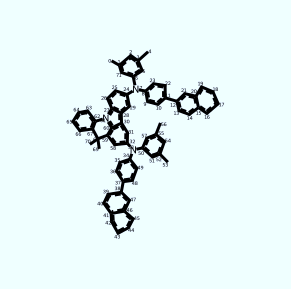 Cc1cc(C)cc(N(c2ccc(-c3ccc4ccccc4c3)cc2)c2ccc3c(c2)c2cc(N(c4ccc(-c5ccc6ccccc6c5)cc4)c4cc(C)cc(C)c4)cc4c2n3-c2ccccc2C4(C)C)c1